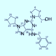 OCC1CCCN1c1nc(NCc2ccccc2)c2ncn(C3CCCC3)c2n1